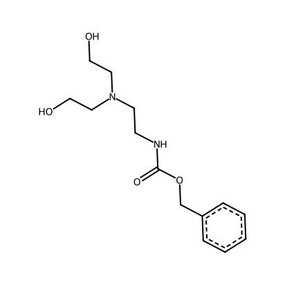 O=C(NCCN(CCO)CCO)OCc1ccccc1